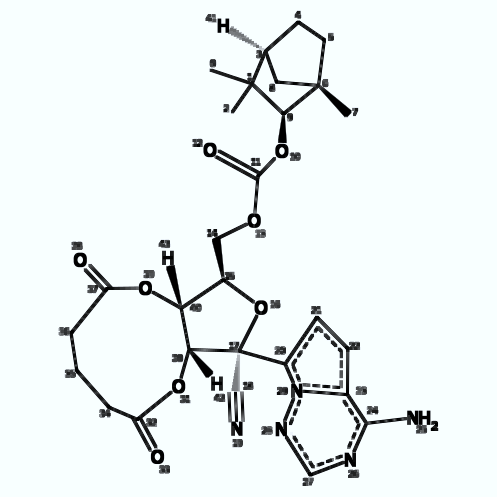 CC1(C)[C@H]2CC[C@@](C)(C2)[C@H]1OC(=O)OC[C@H]1O[C@@](C#N)(c2ccc3c(N)ncnn23)[C@@H]2OC(=O)CCCC(=O)O[C@@H]21